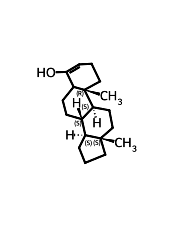 C[C@@]12CCC[C@H]1[C@@H]1CCC3C(O)=CCC[C@]3(C)[C@H]1CC2